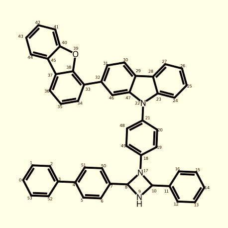 c1ccc(-c2ccc(C3NC(c4ccccc4)N3c3ccc(-n4c5ccccc5c5ccc(-c6cccc7c6oc6ccccc67)cc54)cc3)cc2)cc1